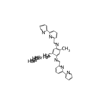 Br.Br.Br.Br.Cc1cc(N=Cc2cccc(-c3ccccn3)n2)c(C)cc1N=Cc1cccc(-c2ccccn2)n1.[Fe].[Fe]